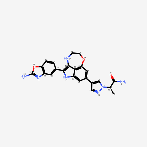 C[C@H](C(N)=O)n1cc(-c2cc3c4c(c(-c5ccc6oc(N)nc6c5)[nH]c4c2)NCCO3)cn1